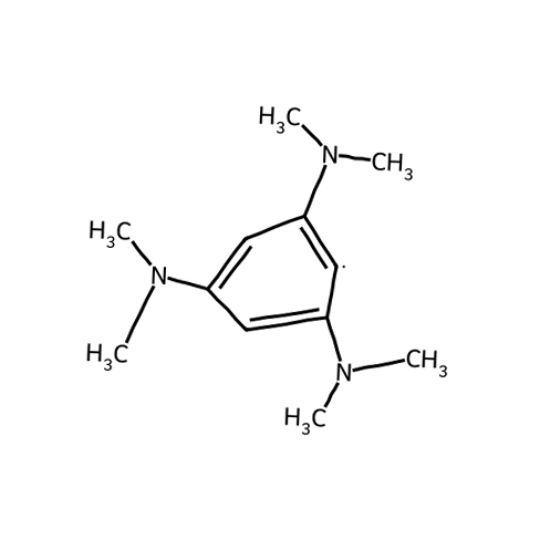 CN(C)c1[c]c(N(C)C)cc(N(C)C)c1